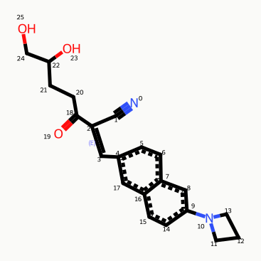 N#C/C(=C\c1ccc2cc(N3CCC3)ccc2c1)C(=O)CCC(O)CO